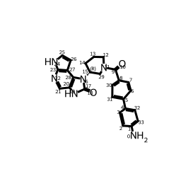 Nc1ccc(-c2ccc(C(=O)N3CCC[C@@H](n4c(=O)[nH]c5cnc6[nH]ccc6c54)C3)cc2)cc1